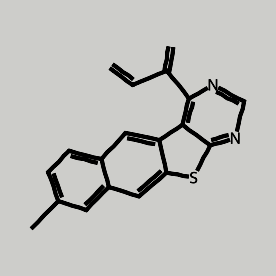 C=CC(=C)c1ncnc2sc3cc4cc(C)ccc4cc3c12